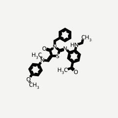 CCNc1ccc(C(C)=O)cc1N=C1SC(=CN(C)c2ccc(OC)cc2)C(=O)N1Cc1ccccc1